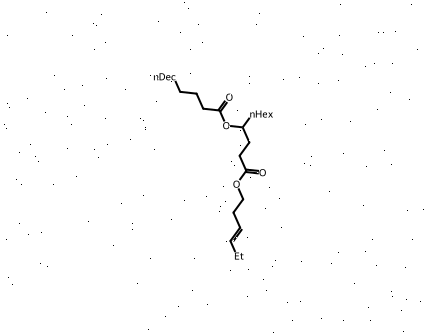 CCC=CCCOC(=O)CCC(CCCCCC)OC(=O)CCCCCCCCCCCCC